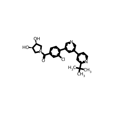 CC(C)(C)c1cc(-c2cncc(-c3ccc(C(=O)N4C[C@@H](O)[C@@H](O)C4)cc3Cl)c2)ccn1